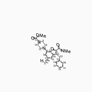 CNC(=O)c1oc2c(N3CCN(C(=O)OC)CC3)cc(C)cc2c1Cc1ccccc1